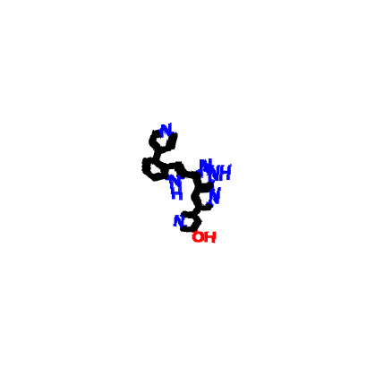 Oc1cncc(-c2cnc3[nH]nc(-c4cc5c(-c6ccncc6)cccc5[nH]4)c3c2)c1